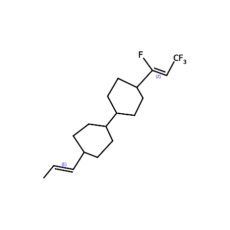 C/C=C/C1CCC(C2CCC(/C(F)=C/C(F)(F)F)CC2)CC1